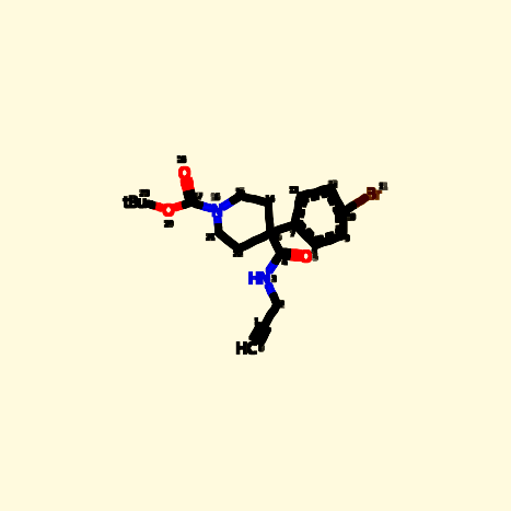 C#CCNC(=O)C1(c2ccc(Br)cc2)CCN(C(=O)OC(C)(C)C)CC1